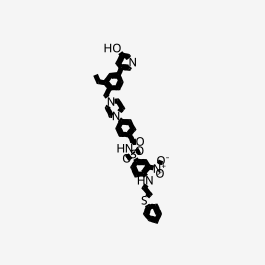 CCc1cc(-c2cncc(O)c2)ccc1CN1CCN(c2ccc(C(=O)NS(=O)(=O)c3ccc(NCCSc4ccccc4)c([N+](=O)[O-])c3)cc2)CC1